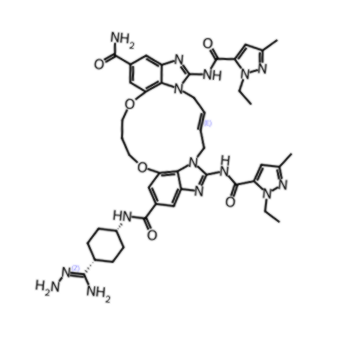 CCn1nc(C)cc1C(=O)Nc1nc2cc(C(N)=O)cc3c2n1C/C=C/Cn1c(NC(=O)c2cc(C)nn2CC)nc2cc(C(=O)N[C@H]4CC[C@@H](/C(N)=N/N)CC4)cc(c21)OCCCO3